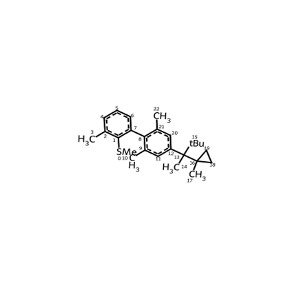 CSc1c(C)cccc1-c1c(C)cc(C(C)(C(C)(C)C)C2(C)CC2)cc1C